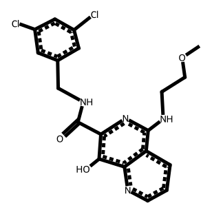 COCCNc1nc(C(=O)NCc2cc(Cl)cc(Cl)c2)c(O)c2ncccc12